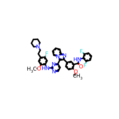 COc1cc(CCN2CCCCC2)c(F)cc1Nc1nccc(-c2c(-c3ccc(OC)c(C(=O)Nc4c(F)cccc4F)c3)nc3ccccn23)n1